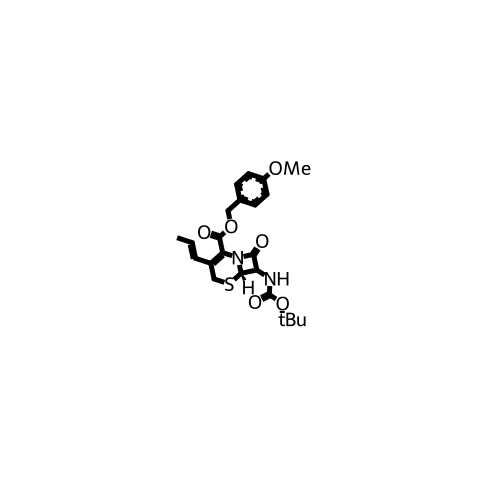 CC=CC1=C(C(=O)OCc2ccc(OC)cc2)N2C(=O)C(NC(=O)OC(C)(C)C)[C@@H]2SC1